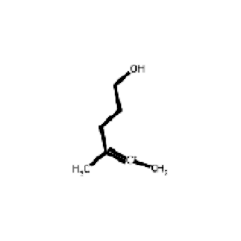 [CH2-]/[C+]=C(/C)CCCO